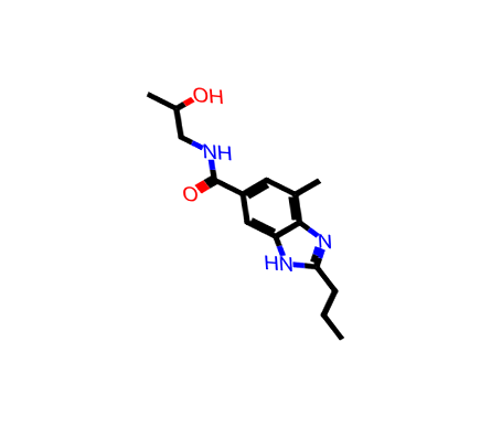 CCCc1nc2c(C)cc(C(=O)NCC(C)O)cc2[nH]1